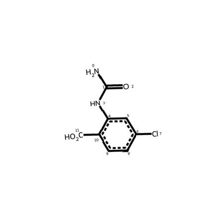 NC(=O)Nc1cc(Cl)ccc1C(=O)O